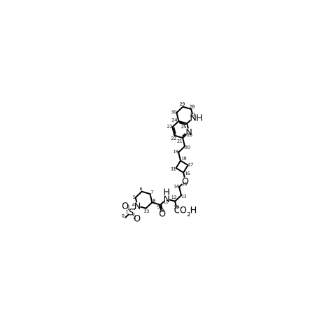 CS(=O)(=O)N1CCCC(C(=O)NC(CCOC2CC(CCc3ccc4c(n3)NCCC4)C2)C(=O)O)C1